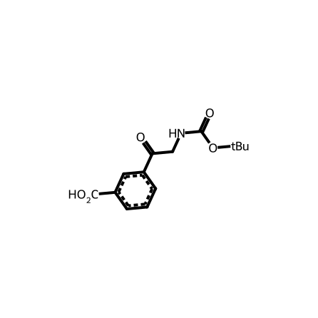 CC(C)(C)OC(=O)NCC(=O)c1cccc(C(=O)O)c1